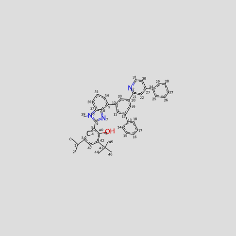 CC(C)c1cc(-c2nc3c(-c4cc(-c5ccccc5)cc(-c5cc(-c6ccccc6)ccn5)c4)cccc3n2C)c(O)c(C(C)(C)C)c1